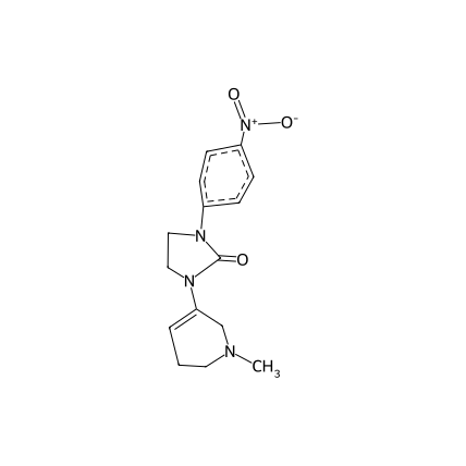 CN1CCC=C(N2CCN(c3ccc([N+](=O)[O-])cc3)C2=O)C1